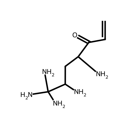 C=CC(=O)C(N)CC(N)C(N)(N)N